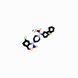 CC(=O)N(c1ccc2sc3ccccc3c2c1)N1CCC(N2C(=O)OCc3ccc(Cl)cc32)CC1